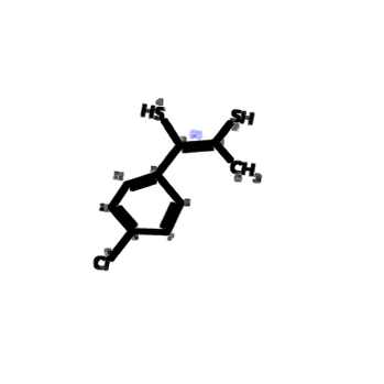 C/C(S)=C(/S)c1ccc(Cl)cc1